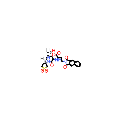 CC(C)C[C@@H](NC(CCN1C(=O)c2cc3ccccc3cc2C1=O)C(=O)O)C(=O)N[C@H]1CCS(=O)(=O)C1